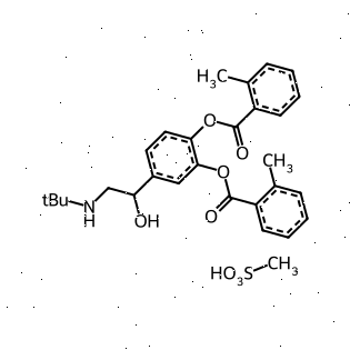 CS(=O)(=O)O.Cc1ccccc1C(=O)Oc1ccc(C(O)CNC(C)(C)C)cc1OC(=O)c1ccccc1C